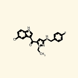 CCn1nc(NCc2ccc(F)cc2)cc1C(=O)c1c[nH]c2ccc(Cl)cc12